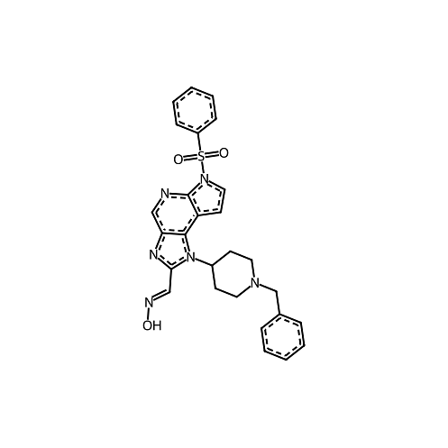 O=S(=O)(c1ccccc1)n1ccc2c1ncc1nc(C=NO)n(C3CCN(Cc4ccccc4)CC3)c12